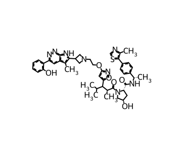 Cc1ncsc1-c1ccc([C@H](C)NC(=O)[C@@H]2C[C@@H](O)CN2C(=O)[C@@H](C)C(c2cc(OCCN3CC(c4[nH]c5nnc(-c6ccccc6O)cc5c4C)C3)no2)C(C)C)cc1